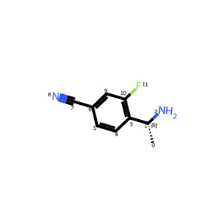 C[C@@H](N)c1ccc(C#N)cc1F